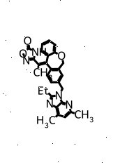 CCc1nc2c(C)cc(C)nc2n1Cc1ccc2c(c1)COc1ccccc1/C2=C(/C)c1noc(=O)[nH]1